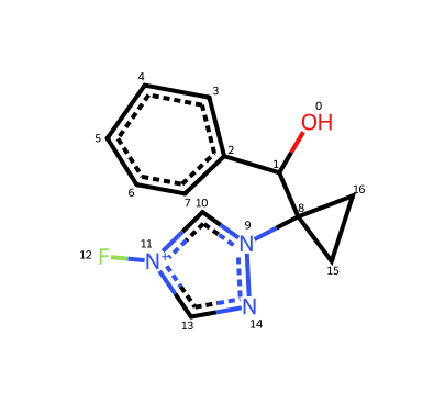 OC(c1ccccc1)C1(n2c[n+](F)cn2)CC1